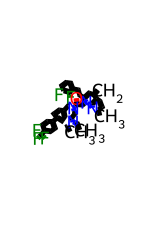 C=C1C=C(CCc2cccc(F)c2F)N(CC(=O)N(CCN(CC)CC)Cc2ccc(-c3ccc(C(F)(F)F)cc3)cc2)c2nc(C)ccc21